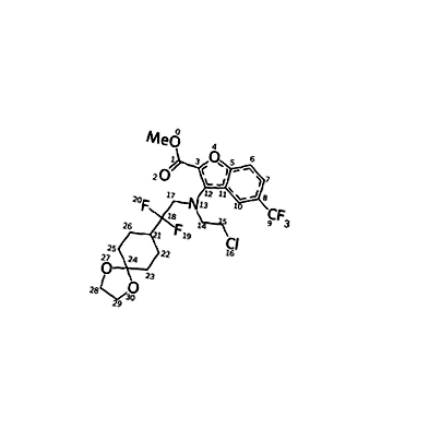 COC(=O)c1oc2ccc(C(F)(F)F)cc2c1N(CCCl)CC(F)(F)C1CCC2(CC1)OCCO2